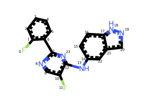 Fc1ccccc1-c1ncc(F)c(Nc2ccc3[nH]ncc3c2)n1